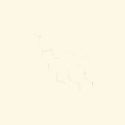 CCCCn1nc(NC(C)(C)C)nc1Cc1ccc(-c2ccccc2-c2nnn[nH]2)nc1